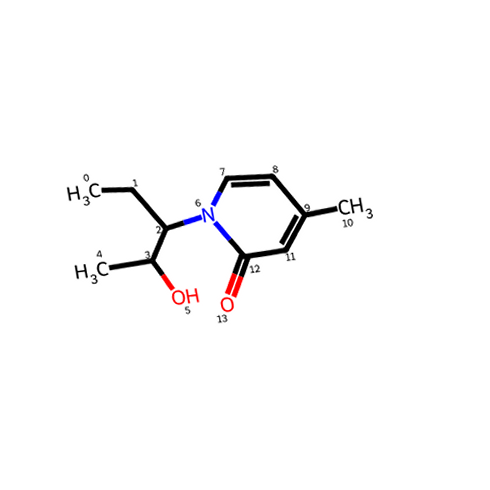 CCC(C(C)O)n1ccc(C)cc1=O